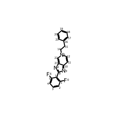 Fc1cccc(F)c1-c1nc2ccn(CCc3ccccc3)cc-2n1